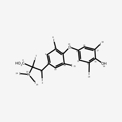 O=C(O)C(I)(C(I)c1cc(I)c(Oc2cc(I)c(O)c(I)c2)c(I)c1)N(I)I